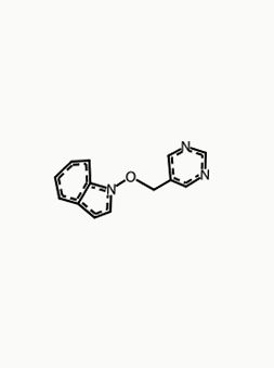 c1ccc2c(c1)ccn2OCc1cncnc1